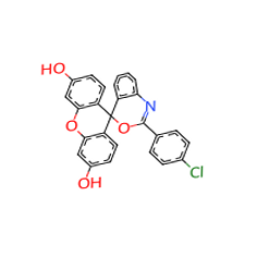 Oc1ccc2c(c1)Oc1cc(O)ccc1C21OC(c2ccc(Cl)cc2)=Nc2ccccc21